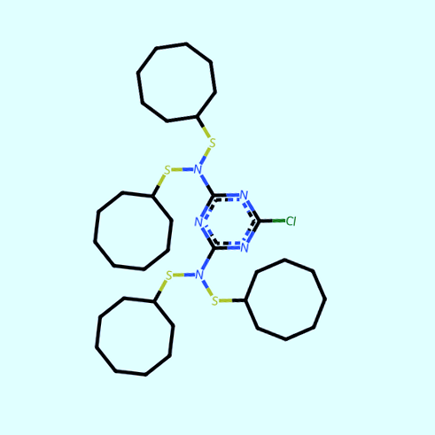 Clc1nc(N(SC2CCCCCCC2)SC2CCCCCCC2)nc(N(SC2CCCCCCC2)SC2CCCCCCC2)n1